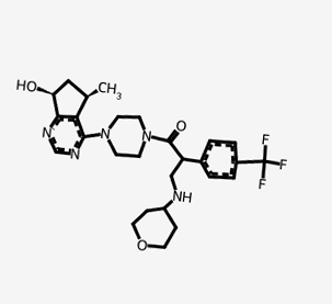 C[C@@H]1C[C@H](O)c2ncnc(N3CCN(C(=O)C(CNC4CCOCC4)c4ccc(C(F)(F)F)cc4)CC3)c21